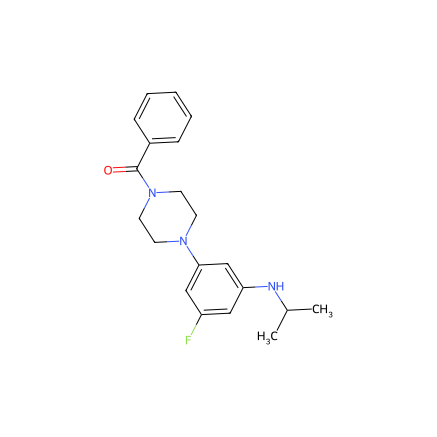 CC(C)Nc1cc(F)cc(N2CCN(C(=O)c3ccccc3)CC2)c1